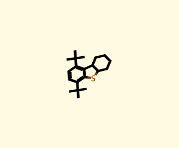 CC(C)(C)c1ccc(C(C)(C)C)c2c1SC1CCCCC21